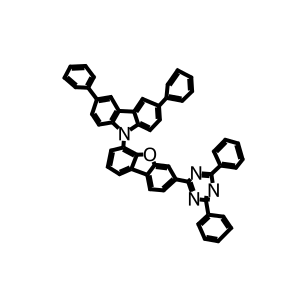 c1ccc(-c2ccc3c(c2)c2cc(-c4ccccc4)ccc2n3-c2cccc3c2oc2cc(-c4nc(-c5ccccc5)nc(-c5ccccc5)n4)ccc23)cc1